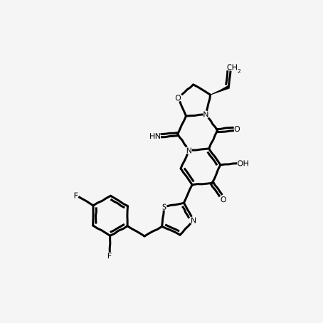 C=C[C@@H]1COC2C(=N)n3cc(-c4ncc(Cc5ccc(F)cc5F)s4)c(=O)c(O)c3C(=O)N21